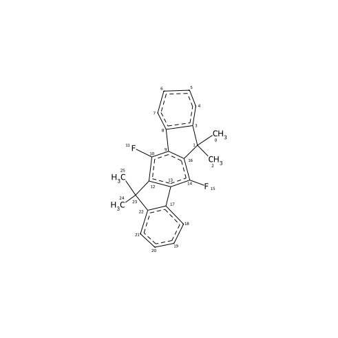 CC1(C)c2ccccc2-c2c(F)c3c(c(F)c21)-c1ccccc1C3(C)C